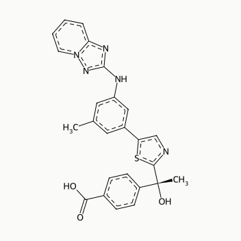 Cc1cc(Nc2nc3ccccn3n2)cc(-c2cnc([C@](C)(O)c3ccc(C(=O)O)cc3)s2)c1